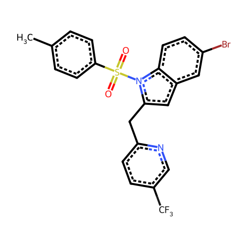 Cc1ccc(S(=O)(=O)n2c(Cc3ccc(C(F)(F)F)cn3)cc3cc(Br)ccc32)cc1